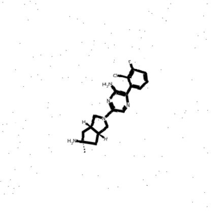 C[C@@]1(N)C[C@H]2CN(c3cnc(-c4cccc(F)c4Cl)c(N)n3)C[C@H]2C1